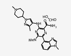 CNc1nc(Nc2cn(C3CCN(C)CC3)nc2C)c(C(N)=O)nc1-c1cccc2c1ncn2C.O=CO